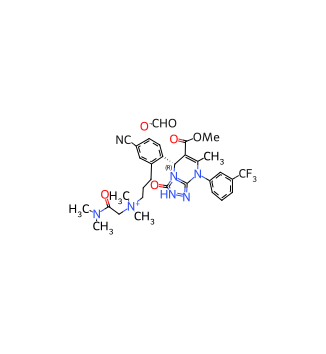 COC(=O)C1=C(C)N(c2cccc(C(F)(F)F)c2)c2n[nH]c(=O)n2[C@@H]1c1ccc(C#N)cc1CCC[N+](C)(C)CC(=O)N(C)C.O=C[O-]